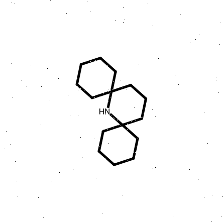 C1CCC2(CC1)CCCC1(CCCCC1)N2